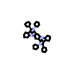 c1ccc(-c2c3c4ccccc4n4c5cc6c7c8c(c(-c9ccccc9)n7-c7ccccc7)c7ccccc7n8c6cc5c(c34)n2-c2ccccc2)cc1